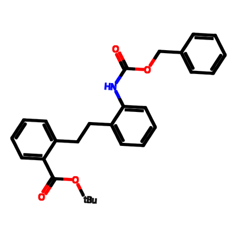 CC(C)(C)OC(=O)c1ccccc1CCc1ccccc1NC(=O)OCc1ccccc1